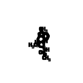 COC(=O)N[C@H]1C[C@@H]2c3cccc4c3c(cn4C)C[C@H]2N(C)C1